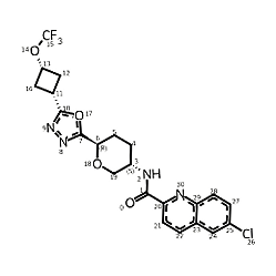 O=C(N[C@H]1CC[C@H](c2nnc([C@H]3C[C@@H](OC(F)(F)F)C3)o2)OC1)c1ccc2cc(Cl)ccc2n1